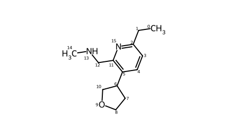 CCc1ccc(C2CCOC2)c(CNC)n1